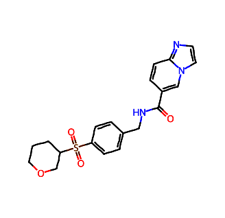 O=C(NCc1ccc(S(=O)(=O)C2CCCOC2)cc1)c1ccc2nccn2c1